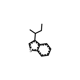 CCC(C)c1csc2ccccc12